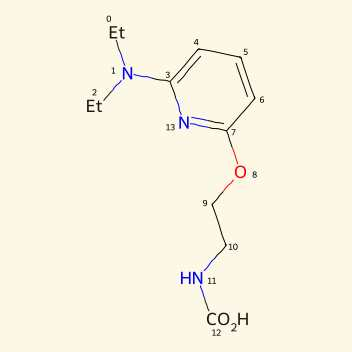 CCN(CC)c1cccc(OCCNC(=O)O)n1